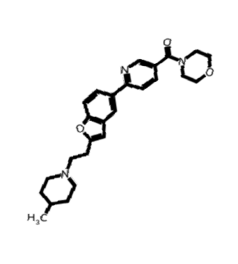 CC1CCN(CCc2cc3cc(-c4ccc(C(=O)N5CCOCC5)cn4)ccc3o2)CC1